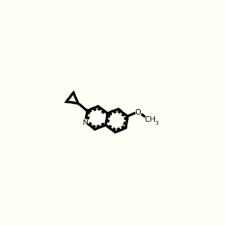 COc1ccc2cnc(C3CC3)cc2c1